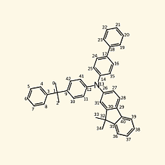 CC(C)(c1ccccc1)c1ccc(N(c2ccc(-c3ccccc3)cc2)c2ccc3c(c2)C(C)(C)c2ccccc2-3)cc1